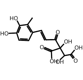 Cc1c(C=CC(=O)C(O)(C(=O)O)C(O)C(=O)O)ccc(O)c1O